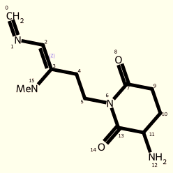 C=N/C=C(/CCN1C(=O)CCC(N)C1=O)NC